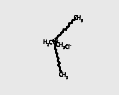 CCCCCCCCCCCCCCC[N+](CC)(CC)CCCCCCCCCCCCCCC.[Cl-]